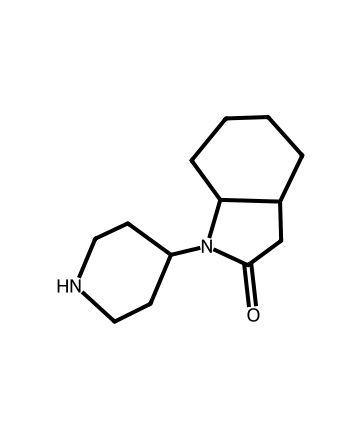 O=C1CC2CCCCC2N1C1CCNCC1